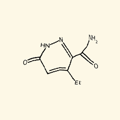 CCc1cc(=O)[nH]nc1C(N)=O